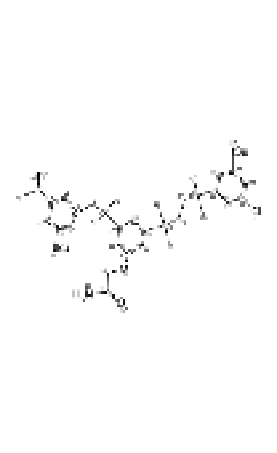 CC(C)[C@H](C)c1cc(CC(C)(C)c2cc(OCC(N)=O)cc(C(C)(C)CCC(C)(C)c3cc(Cl)cc(C(C)(C)C)c3)c2)cc(C(C)(C)C)c1